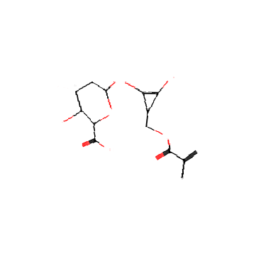 C=C(C)C(=O)OCC1C(O)C1OC1C[C@@H](O)C(O)C(C(=O)O)O1